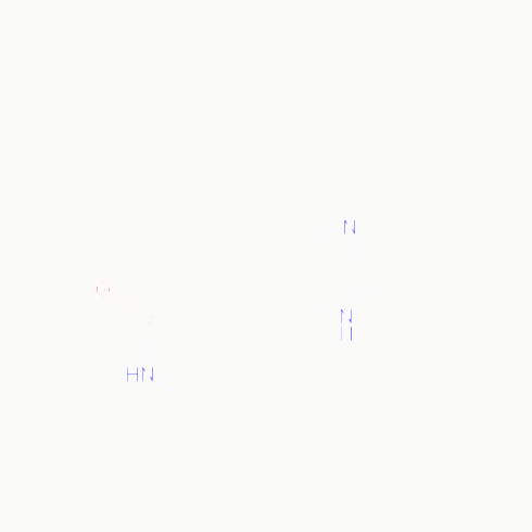 Cc1nc2c3ccccc3c3c(=O)[nH]ccc3c2[nH]1